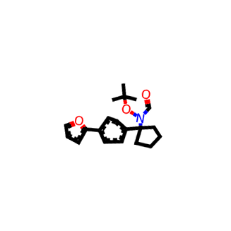 CC(C)(C)ON(C=O)C1(c2ccc(-c3ccco3)cc2)CCCC1